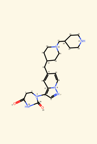 O=C1CCN(c2cnn3ccc(CC4CCN(CC5CCNCC5)CC4)cc23)C(=O)N1